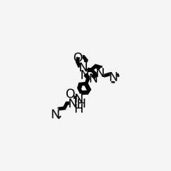 CN(C)CCCNC(=O)Nc1ccc(-c2nc(N3CCOCC3)c3ccn(CCN(C)C)c3n2)cc1